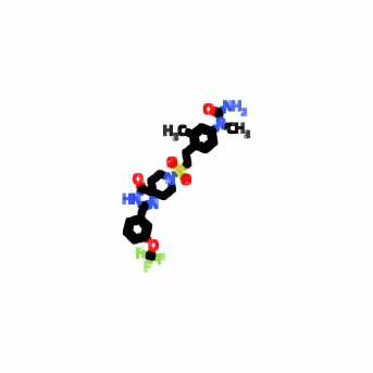 Cc1cc(N(C)C(N)=O)ccc1CCS(=O)(=O)N1CCC2(CC1)N=C(c1cccc(OC(F)(F)F)c1)NC2=O